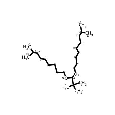 [CH2]C([CH2])([CH2])[C](OCCCCCCCC(C)C)OCCCCCCCC(C)C